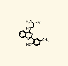 Cc1ccc(O)c(-c2nc(NC[C@H](N)C(C)C)c3ccccc3n2)c1